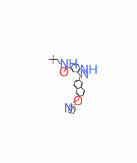 CN1CCC[C@H]1COc1ccc2cc(-c3n[nH]c4ccc(C(=O)NCCC(C)(C)C)cc34)ccc2c1